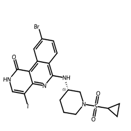 O=c1[nH]cc(I)c2nc(N[C@H]3CCCN(S(=O)(=O)C4CC4)C3)c3ccc(Br)cc3c12